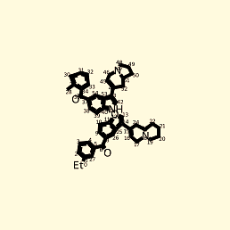 CCc1cccc(C(=O)c2ccc3occ(C4=CCN5CCCCC5C4)c3c2)c1.Cc1ccccc1C(=O)c1ccc2[nH]cc(C3=CCN4CCCC4C3)c2c1